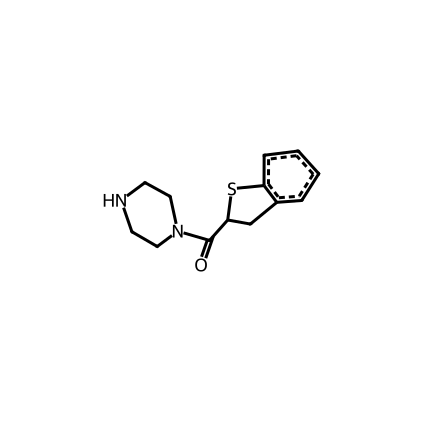 O=C(C1Cc2ccccc2S1)N1CCNCC1